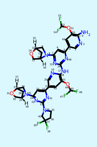 Nc1ncc(-c2cc(N3C[C@@H]4C[C@H]3CO4)nc(Nc3ncc(-c4cc(N5C[C@@H]6C[C@H]5CO6)nc(N5CCC(F)(F)C5)n4)cc3OC(F)F)n2)cc1OC(F)F